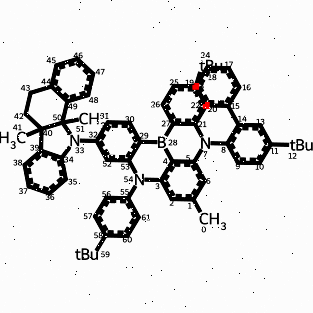 Cc1cc2c3c(c1)N(c1ccc(C(C)(C)C)cc1-c1ccccc1)c1cc(C(C)(C)C)ccc1B3c1ccc(N3c4ccccc4C4(C)CCc5ccccc5C34C)cc1N2c1ccc(C(C)(C)C)cc1